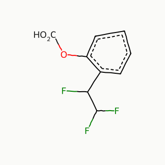 O=C(O)Oc1ccccc1C(F)C(F)F